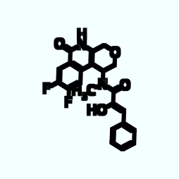 CN(C(=O)C(O)=Cc1ccccc1)C1COCc2[nH]c(=O)c3cc(F)c(F)cc3c21